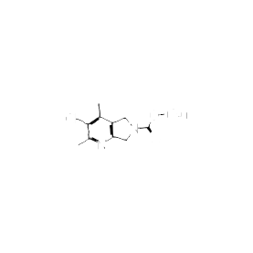 Cc1nc2c(c(C)c1Cl)CN(C(=O)OC(C)(C)C)C2